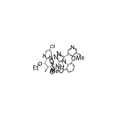 CCO[C@H](c1ncc(Cl)cn1)[C@H](C)S(=O)(=O)Nc1nnc(-c2cncc(C)c2)n1-c1c(OC)cccc1OC